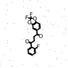 O=C(CCC(=O)c1ccccc1F)c1ccc2c(c1)OC(F)(F)O2